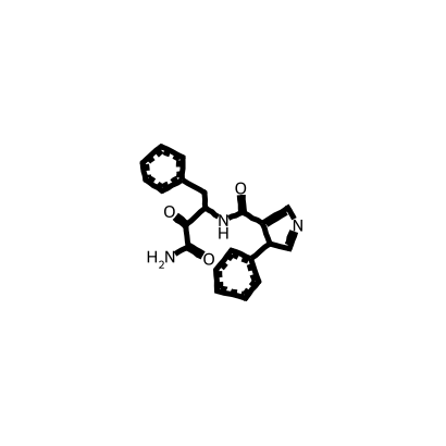 NC(=O)C(=O)C(Cc1ccccc1)NC(=O)C1=CN=CC1c1ccccc1